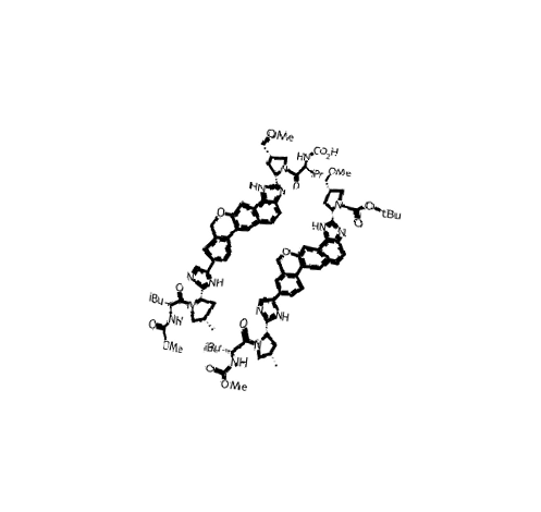 CC[C@@H](C)[C@H](NC(=O)OC)C(=O)N1C[C@@H](C)C[C@H]1c1ncc(-c2ccc3c(c2)COc2cc4c(ccc5nc([C@@H]6C[C@H](COC)CN6C(=O)OC(C)(C)C)[nH]c54)cc2-3)[nH]1.CC[C@@H](C)[C@H](NC(=O)OC)C(=O)N1C[C@@H](C)C[C@H]1c1ncc(-c2ccc3c(c2)COc2cc4c(ccc5nc([C@@H]6C[C@H](COC)CN6C(=O)[C@@H](NC(=O)O)C(C)C)[nH]c54)cc2-3)[nH]1